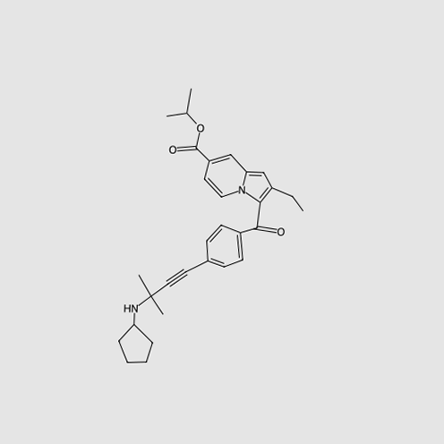 CCc1cc2cc(C(=O)OC(C)C)ccn2c1C(=O)c1ccc(C#CC(C)(C)NC2CCCC2)cc1